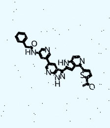 CC(=O)c1ccc(-c2nccc3[nH]c(-c4n[nH]c5ncc(-c6cncc(NC(=O)Cc7ccccc7)c6)cc45)cc23)s1